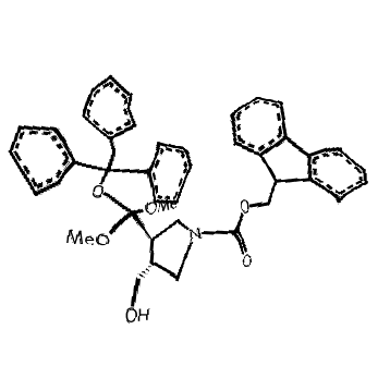 COC(OC)(OC(c1ccccc1)(c1ccccc1)c1ccccc1)[C@H]1CN(C(=O)OCC2c3ccccc3-c3ccccc32)C[C@@H]1CO